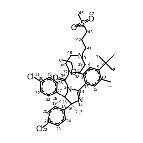 CCOc1cc(C(C)(C)C)c(C)cc1C1=N[C@@](C)(c2ccc(Cl)cc2)[C@@](C)(c2ccc(Cl)cc2)N1C(=O)N1CCN(CCCS(C)(=O)=O)CC1